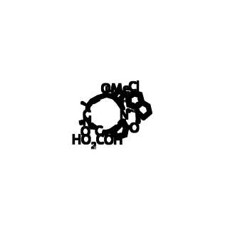 CO[C@H]1/C=C\[C@H](C)CN(C)C(=O)C[C@@](O)(C(=O)O)c2ccc3c(c2)N(C[C@H]2CC[C@H]21)C[C@]1(CCCc2cc(Cl)ccc21)CO3